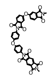 CN1C(=O)c2ccc(Oc3ccc4c(c3)C(=O)N(c3ccc(Oc5ccc(-n6c(=O)c7cc8c(=O)n(C)c(=O)c8cc7c6=O)cc5)cc3)C4=O)cc2C1=O